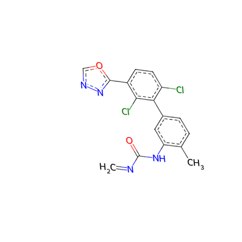 C=NC(=O)Nc1cc(-c2c(Cl)ccc(-c3nnco3)c2Cl)ccc1C